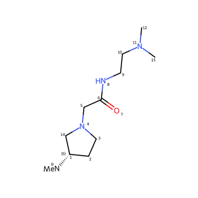 CN[C@H]1CCN(CC(=O)NCCN(C)C)C1